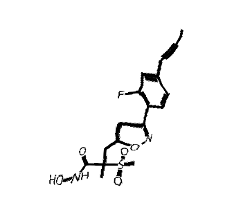 CC#Cc1ccc(C2=NOC(CC(C)(C(=O)NO)S(C)(=O)=O)C2)c(F)c1